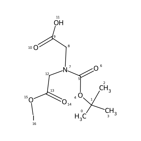 CC(C)(C)OC(=O)N(CC(=O)O)CC(=O)OI